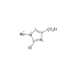 CCOC(=O)c1cn(C(C)CC)c(CC)n1